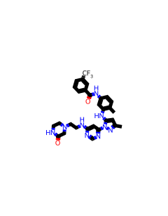 Cc1cc(Nc2cc(NC(=O)c3cccc(C(F)(F)F)c3)ccc2C)n(-c2cc(NCCN3CCNC(=O)C3)ncn2)n1